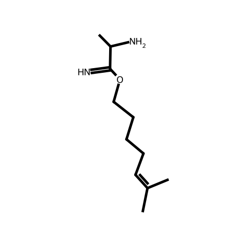 CC(C)=CCCCCOC(=N)C(C)N